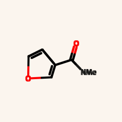 [CH2]NC(=O)c1ccoc1